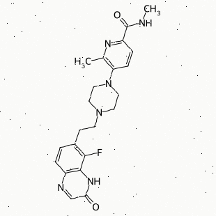 CNC(=O)c1ccc(N2CCN(CCc3ccc4ncc(=O)[nH]c4c3F)CC2)c(C)n1